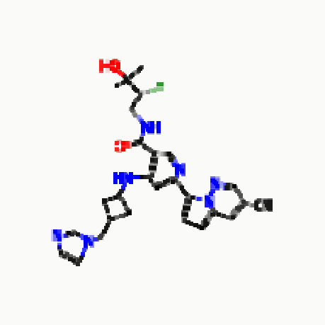 CC(C)(O)[C@H](F)CNC(=O)c1cnc(-c2ccc3cc(C#N)cnn23)cc1NC1CC(Cn2ccnc2)C1